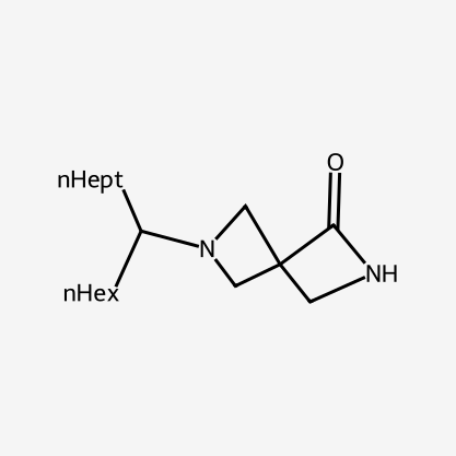 CCCCCCCC(CCCCCC)N1CC2(CNC2=O)C1